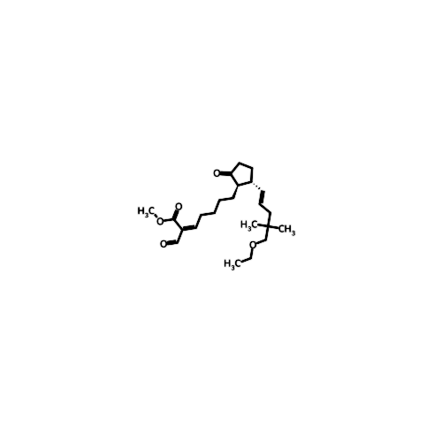 CCOCC(C)(C)CC=C[C@H]1CCC(=O)[C@@H]1CCCCC=C(C=O)C(=O)OC